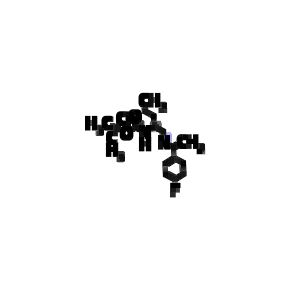 C=CC[C@@H](/C=N/C(=C)c1ccc(F)cc1)NC(=O)OC(C)(C)C